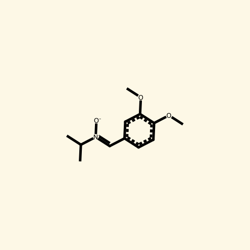 COc1ccc(C=[N+]([O-])C(C)C)cc1OC